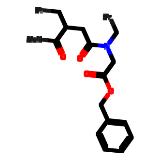 CNC(=O)C(CC(=O)N(CC(=O)OCc1ccccc1)CC(C)C)CC(C)C